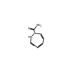 NC(=O)n1cccccc[nH]1